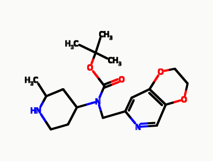 CC1CC(N(Cc2cc3c(cn2)OCCO3)C(=O)OC(C)(C)C)CCN1